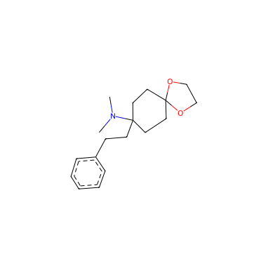 CN(C)C1(CCc2ccccc2)CCC2(CC1)OCCO2